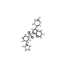 CN1CC=C(c2cn(S(=O)(=O)c3cccc(N4CCCC4)c3)c3ncccc23)CC1